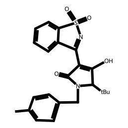 Cc1ccc(CN2C(=O)C(C3=NS(=O)(=O)c4ccccc43)=C(O)C2C(C)(C)C)cc1